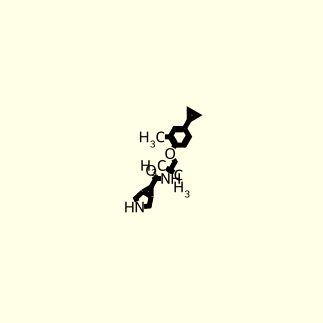 Cc1cc(C2CC2)ccc1OCC(C)(C)NC(=O)C1C2CNCC21